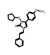 COc1ccc(-c2cn(C=Cc3ccccc3)c(=O)n2OC2CCCC2)cc1